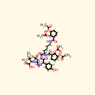 CC(=O)Oc1cccc(C(=O)NCCCCC(NC(=O)c2cccc(OC(C)=O)c2OC(C)=O)C(=O)N(C(=O)C(N)c2ccc(O)cc2)[C@@H]2C(=O)N3[C@@H]2SC(C)(C)[C@@H]3C(=O)O)c1OC(C)=O